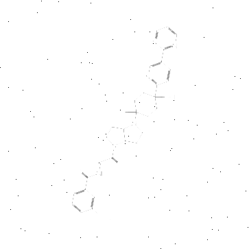 CC1(N2CCC3C2CCN3C(=O)CNC(=O)c2cccc(C(F)(F)F)c2)CCC(O)(c2ccc(-c3ncccn3)cn2)CC1